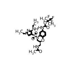 CCNc1nn(CC)cc1S(=O)(=O)N1C[C@H](CNC(C)=O)Oc2ccc(NC(=O)OC(C)(C)C(F)(F)F)cc21